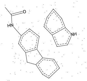 CC(=O)Nc1ccc2c(c1)Cc1ccccc1-2.c1ccc2[nH]ccc2c1